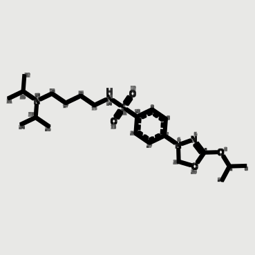 CC(C)OC1=NN(c2ccc(S(=O)(=O)NCCCCN(C(C)C)C(C)C)cc2)CO1